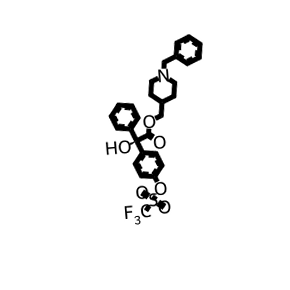 O=C(OCC1CCN(Cc2ccccc2)CC1)[C@](O)(c1ccccc1)c1ccc(OS(=O)(=O)C(F)(F)F)cc1